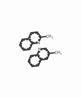 Cc1ccc2ccccc2n1.Cc1cnc2ccccc2c1